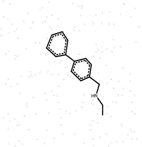 CCNCc1ccc(-c2c[c]ccc2)cc1